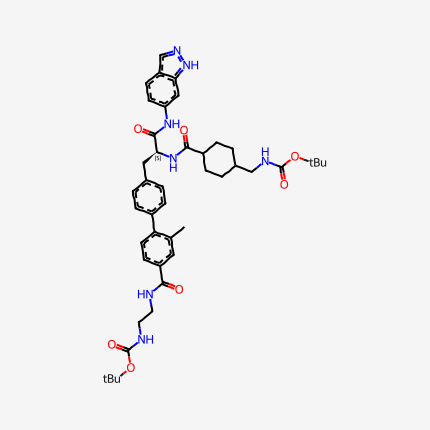 Cc1cc(C(=O)NCCNC(=O)OC(C)(C)C)ccc1-c1ccc(C[C@H](NC(=O)C2CCC(CNC(=O)OC(C)(C)C)CC2)C(=O)Nc2ccc3cn[nH]c3c2)cc1